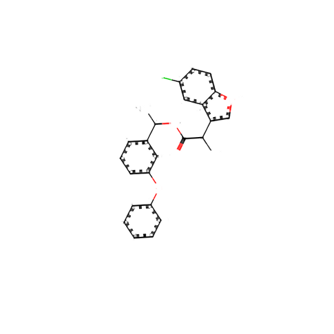 CC(C)C(C(=O)OC(C#N)c1cccc(Oc2ccccc2)c1)c1coc2ccc(Cl)cc12